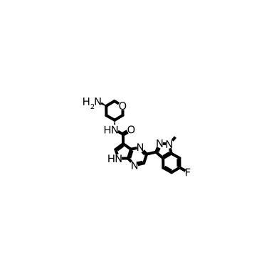 Cn1nc(-c2cnc3[nH]cc(C(=O)N[C@H]4COC[C@H](N)C4)c3n2)c2ccc(F)cc21